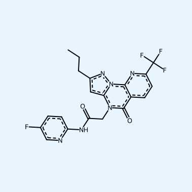 CCCc1cc2n(CC(=O)Nc3ccc(F)cn3)c(=O)c3ccc(C(F)(F)F)nc3n2n1